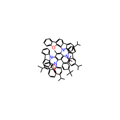 Cc1c(-n2c3ccccc3c3ccc4c5ccccc5oc4c32)c(-n2c3ccc(C(C)C)cc3c3cc(C(C)C)ccc32)c(-c2ccc(C(C)(C)C)cc2C(C)(C)C)c(-n2c3ccc(C(C)C)cc3c3cc(C(C)C)ccc32)c1-n1c2ccccc2c2ccc3c4ccccc4oc3c21